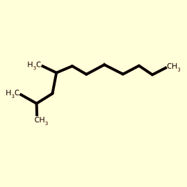 CCCC[CH]CCC(C)CC(C)C